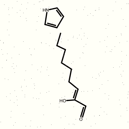 CCCCCC/C=C(\O)C=O.c1cc[nH]c1